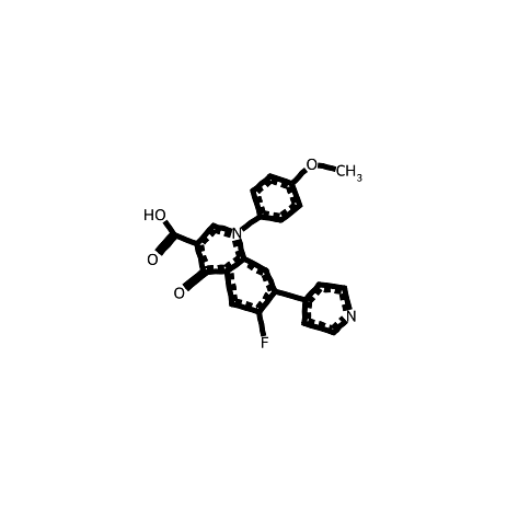 COc1ccc(-n2cc(C(=O)O)c(=O)c3cc(F)c(-c4ccncc4)cc32)cc1